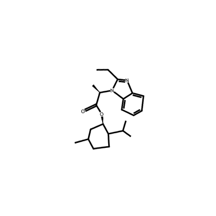 CCc1nc2ccccc2n1[C@H](C)C(=O)O[C@@H]1CC(C)CCC1C(C)C